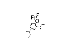 CCC(C)c1ccc(OP(F)F)c(C(C)CC)c1